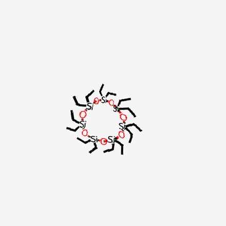 CC[Si]1(CC)O[Si](CC)(CC)O[Si](CC)(CC)O[Si](CC)(CC)O[Si](CC)(CC)O[Si](CC)(CC)O[Si](CC)(CC)O1